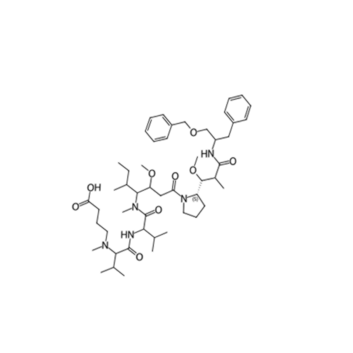 CCC(C)C(C(CC(=O)N1CCC[C@H]1C(OC)C(C)C(=O)NC(COCc1ccccc1)Cc1ccccc1)OC)N(C)C(=O)C(NC(=O)C(C(C)C)N(C)CCCC(=O)O)C(C)C